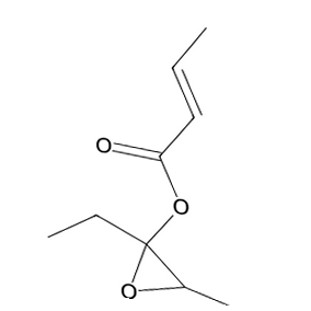 CC=CC(=O)OC1(CC)OC1C